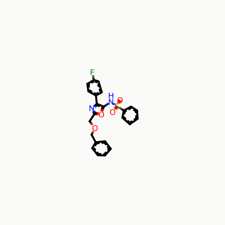 O=S(=O)(Nc1oc(COCc2ccccc2)nc1-c1ccc(F)cc1)c1ccccc1